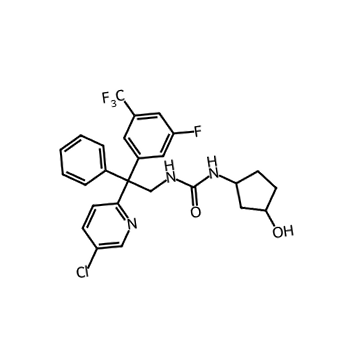 O=C(NCC(c1ccccc1)(c1cc(F)cc(C(F)(F)F)c1)c1ccc(Cl)cn1)NC1CCC(O)C1